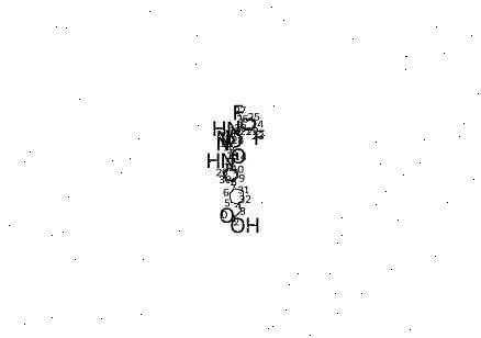 O=C(O)C[C@H]1CC[C@H](c2ccc(NC(=O)c3nnc(Nc4cc(F)ccc4F)o3)cc2)CC1